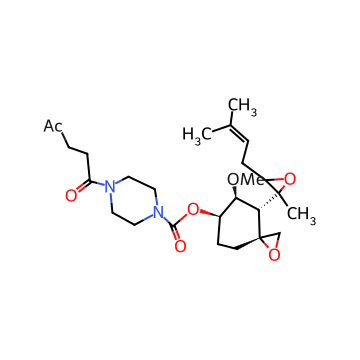 CO[C@H]1[C@H](C2(C)OC2CC=C(C)C)[C@]2(CC[C@H]1OC(=O)N1CCN(C(=O)CCC(C)=O)CC1)CO2